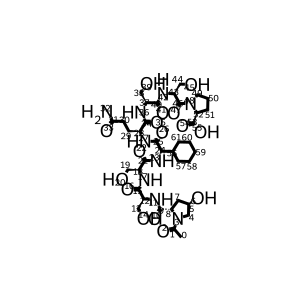 CC(=O)N1C[C@H](O)C[C@H]1C(=O)N[C@@H](CO)C(=O)N[C@@H](CO)C(=O)N[C@H](C(=O)N[C@@H](CCC(N)=O)C(=O)N[C@@H](CO)C(=O)N[C@@H](CO)C(=O)N1CCC[C@H]1C(=O)O)C1CCCCC1